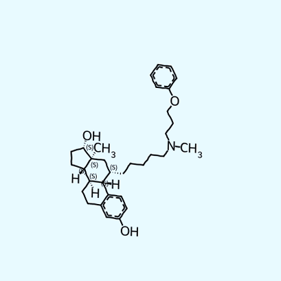 CN(CCCCC[C@H]1C[C@]2(C)[C@@H](O)CC[C@H]2[C@@H]2CCc3cc(O)ccc3[C@@H]12)CCCOc1ccccc1